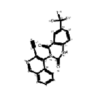 C#Cc1ncc2ccccc2c1-n1c(=O)[nH]c2ccc(C(F)(F)F)cc2c1=O